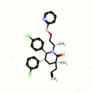 C=CC[C@@]1(C)C[C@H](c2cccc(Cl)c2)[C@@H](c2ccc(Cl)cc2)N([C@@H](C)CCOc2ccccn2)C1=O